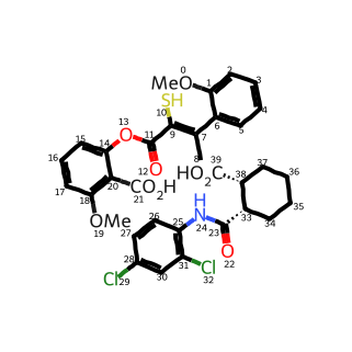 COc1ccccc1C(C)=C(S)C(=O)Oc1cccc(OC)c1C(=O)O.O=C(Nc1ccc(Cl)cc1Cl)[C@H]1CCCC[C@H]1C(=O)O